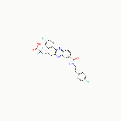 O=C(NCCc1ccc(F)cc1)c1ccc2nc(-c3ccc(F)cc3)c(CCCC(F)(F)C(=O)O)nc2c1